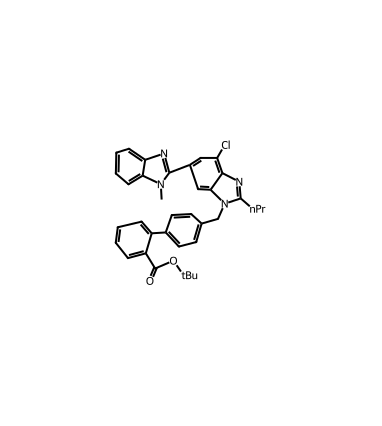 CCCc1nc2c(Cl)cc(-c3nc4ccccc4n3C)cc2n1Cc1ccc(-c2ccccc2C(=O)OC(C)(C)C)cc1